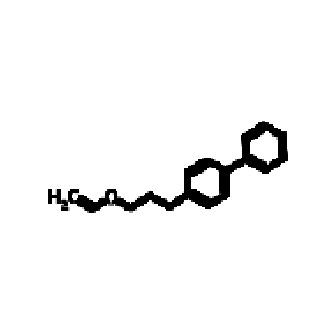 C=COCCCc1ccc(-c2ccccc2)cc1